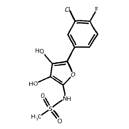 CS(=O)(=O)Nc1oc(-c2ccc(F)c(Cl)c2)c(O)c1O